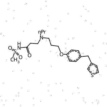 CCCN(CCCOc1ccc(Cc2ccsc2)cc1)CCC(=O)NS(C)(=O)=O